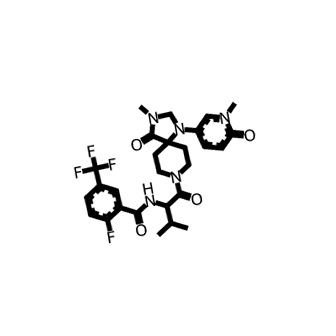 CC(C)C(NC(=O)c1cc(C(F)(F)F)ccc1F)C(=O)N1CCC2(CC1)C(=O)N(C)CN2c1ccc(=O)n(C)c1